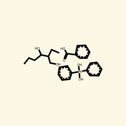 CCCC(O)C(CC)CO.O=C(O)c1ccccc1.O[PH](O)(c1ccccc1)c1ccccc1